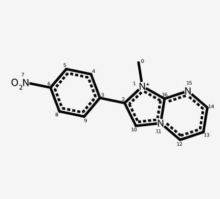 C[n+]1c(-c2ccc([N+](=O)[O-])cc2)cn2cccnc21